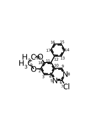 COc1cc2nc(Cl)ncc2c(-c2ccccc2)c1OC